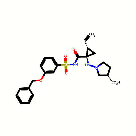 C=C[C@@H]1C[C@]1(NN1CC[C@H](C(=O)O)C1)C(=O)NS(=O)(=O)c1cccc(OCc2ccccc2)c1